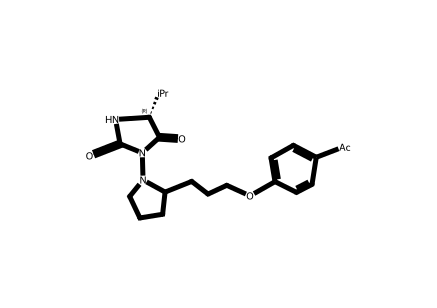 CC(=O)c1ccc(OCCCC2CCCN2N2C(=O)N[C@H](C(C)C)C2=O)cc1